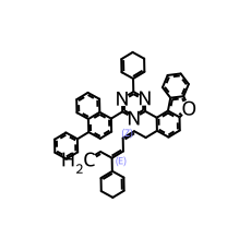 C=C/C(=C\C=C/Cc1ccc2oc3ccccc3c2c1-c1nc(C2=CCCC=C2)nc(-c2ccc(-c3ccccc3)c3ccccc23)n1)C1=CCCC=C1